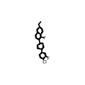 CCc1ccc2c(F)c(-c3ccc(-c4ccc(Cl)c(F)c4)cc3)ccc2c1